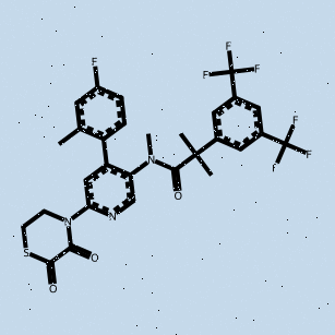 Cc1cc(F)ccc1-c1cc(N2CCSC(=O)C2=O)ncc1N(C)C(=O)C(C)(C)c1cc(C(F)(F)F)cc(C(F)(F)F)c1